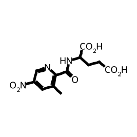 Cc1cc([N+](=O)[O-])cnc1C(=O)NC(CCC(=O)O)C(=O)O